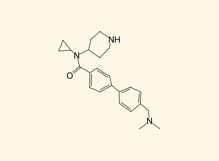 CN(C)Cc1ccc(-c2ccc(C(=O)N(C3CCNCC3)C3CC3)cc2)cc1